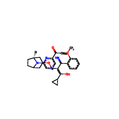 COC(=O)c1cncc(N2C3CC[C@H]2CC(OC/C(C(=N)c2ccccc2OC(F)(F)F)=C(/O)C2CC2)C3)n1